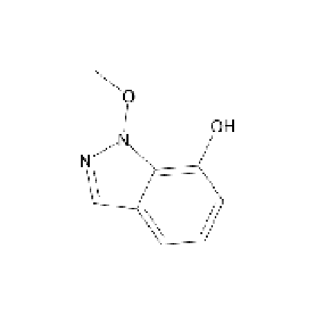 COn1ncc2cccc(O)c21